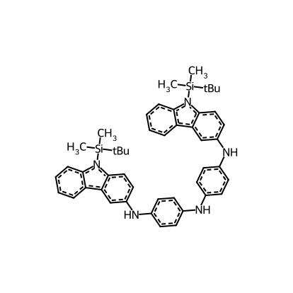 CC(C)(C)[Si](C)(C)n1c2ccccc2c2cc(Nc3ccc(Nc4ccc(Nc5ccc6c(c5)c5ccccc5n6[Si](C)(C)C(C)(C)C)cc4)cc3)ccc21